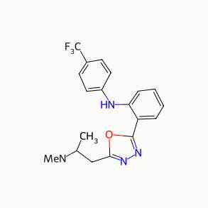 CNC(C)Cc1nnc(-c2ccccc2Nc2ccc(C(F)(F)F)cc2)o1